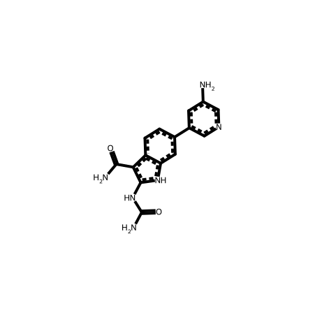 NC(=O)Nc1[nH]c2cc(-c3cncc(N)c3)ccc2c1C(N)=O